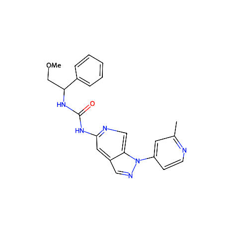 COCC(NC(=O)Nc1cc2cnn(-c3ccnc(C)c3)c2cn1)c1ccccc1